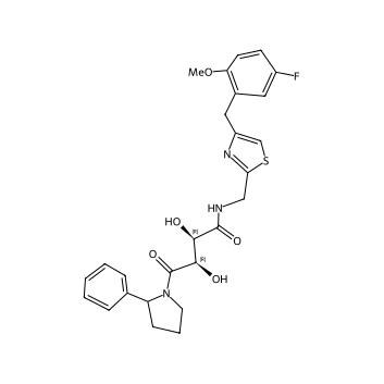 COc1ccc(F)cc1Cc1csc(CNC(=O)[C@H](O)[C@@H](O)C(=O)N2CCCC2c2ccccc2)n1